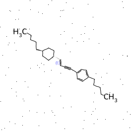 CCCCCc1ccc(C#C/C=C/[C@H]2CC[C@H](CCCCC)CC2)cc1